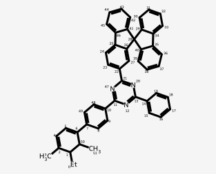 CCC1C(C)=CC=C(c2ccc(-c3nc(-c4ccccc4)nc(-c4ccc5c(c4)C4(c6ccccc6-c6ccccc64)c4ccccc4-5)n3)cc2)C1C